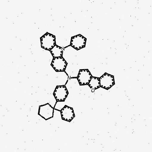 c1ccc(-n2c3ccccc3c3ccc(N(c4ccc(C5(c6ccccc6)CCCCC5)cc4)c4ccc5c(c4)oc4ccccc45)cc32)cc1